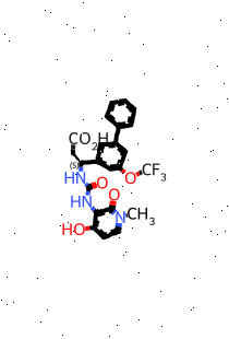 Cn1ccc(O)c(NC(=O)N[C@@H](CC(=O)O)c2cc(OC(F)(F)F)cc(-c3ccccc3)c2)c1=O